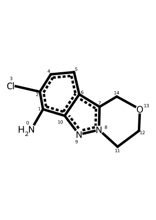 Nc1c(Cl)ccc2c3n(nc12)CCOC3